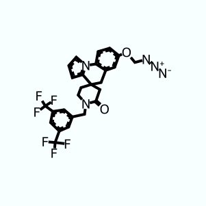 [N-]=[N+]=NCOc1ccc2c(c1)CC1(CCN(Cc3cc(C(F)(F)F)cc(C(F)(F)F)c3)C(=O)C1)c1cccn1-2